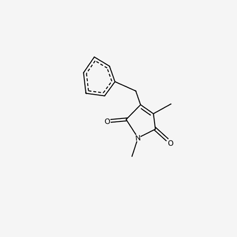 CC1=C(Cc2ccccc2)C(=O)N(C)C1=O